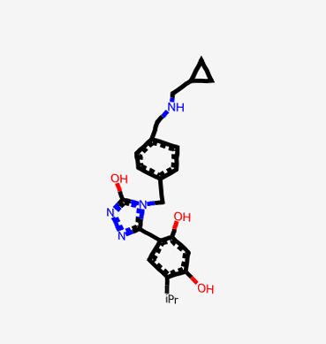 CC(C)c1cc(-c2nnc(O)n2Cc2ccc(CNCC3CC3)cc2)c(O)cc1O